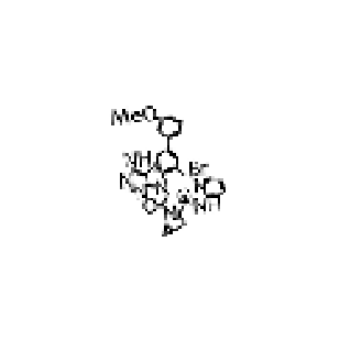 COc1cccc(-c2cc(C)c3c(c2)c2c(N)ncnc2n3CC(=O)N2C(C(=O)Nc3cccc(Br)n3)CC3CC32)c1